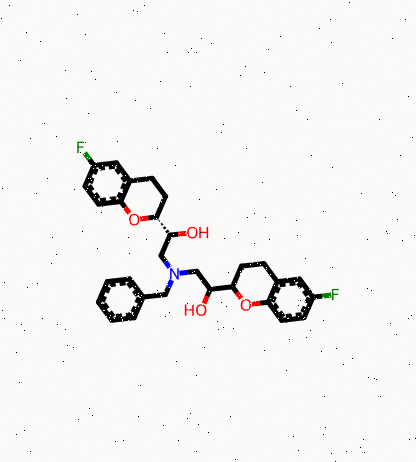 OC(CN(Cc1ccccc1)CC(O)[C@H]1CCc2cc(F)ccc2O1)C1CCc2cc(F)ccc2O1